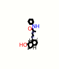 C/C(=C\C=C\[C@@H]1[C@@H]2[C@H](C)[C@@H](O)[C@H](C)C[C@@H]2C=C[C@H]1C)C(=O)Nc1ccccc1